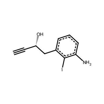 C#C[C@H](O)Cc1cccc(N)c1I